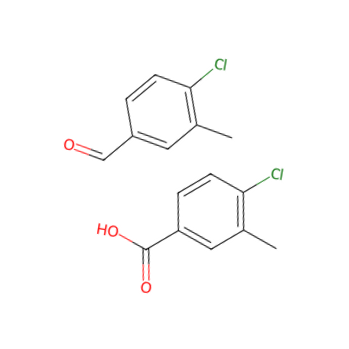 Cc1cc(C(=O)O)ccc1Cl.Cc1cc(C=O)ccc1Cl